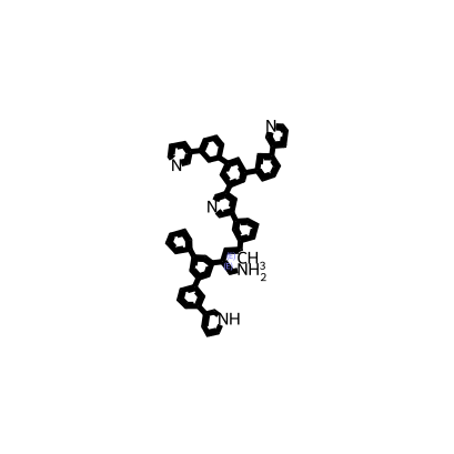 C/C(=C\C(=C/N)c1cc(-c2ccccc2)cc(-c2cccc(C3=CC=CNC3)c2)c1)c1cccc(-c2cncc(-c3cc(-c4cccc(-c5cccnc5)c4)cc(C4C=CC=C(c5cccnc5)C4)c3)c2)c1